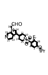 CC(C)Oc1ccc(S(=O)(=O)N2CC=C(c3cn(CC=O)c4cnccc34)CC2)c(F)c1